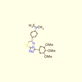 COc1cc(-c2nnc3n2N=C(c2ccc(N(C)C)cc2)CS3)cc(OC)c1OC